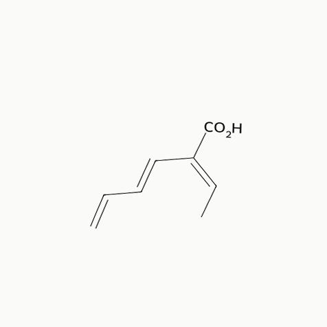 C=CC=CC(=CC)C(=O)O